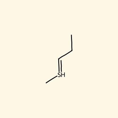 CCC=[SH]C